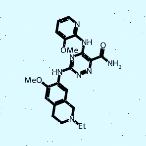 CCN1CCc2cc(OC)c(Nc3nnc(C(N)=O)c(Nc4ncccc4OC)n3)cc2C1